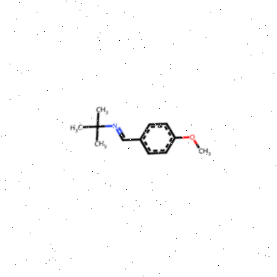 COc1ccc(C=NC(C)(C)C)cc1